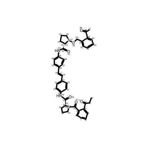 CCC(=O)c1ccccc1C(=O)N1CCC[C@H]1C(=O)Nc1ccc(/C=C/c2ccc(NC(=O)[C@@H]3CCCN3OCc3ccccc3C(C)=O)cc2)cc1